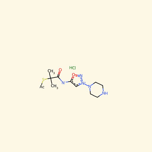 CC(=O)SC(C)(C)C(=O)[N-]c1c[n+](N2CCNCC2)no1.Cl